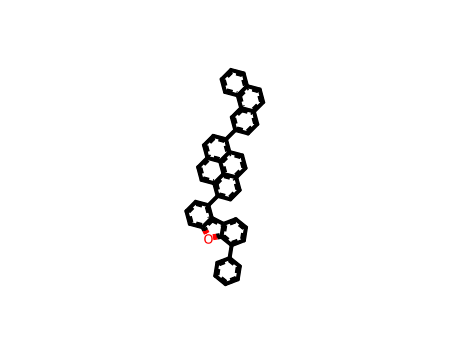 c1ccc(-c2cccc3c2oc2cccc(-c4ccc5ccc6c(-c7ccc8ccc9ccccc9c8c7)ccc7ccc4c5c76)c23)cc1